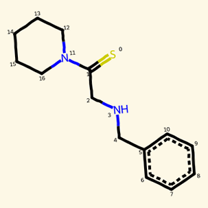 S=C(CNCc1ccccc1)N1CCCCC1